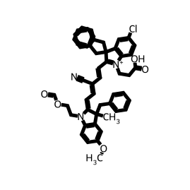 COc1ccc2c(c1)C(C)(Cc1ccccc1)\C(=C/C=C(C#N)/C=C/C1=[N+](CCC(=O)O)c3ccc(Cl)cc3C1(Cc1ccccc1)Cc1ccccc1)N2CCOC=O